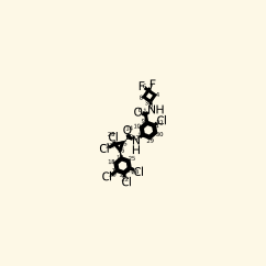 O=C(NC1CC(F)(F)C1)c1cc(NC(=O)[C@@H]2[C@@H](c3cc(Cl)c(Cl)c(Cl)c3)C2(Cl)Cl)ccc1Cl